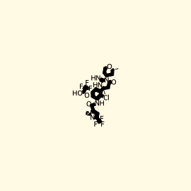 C[C@@H]1C[C@H](N2C(=N)N[C@](C)(c3cccc(NC(=O)c4cc(C(F)(F)F)nn4C)c3Cl)CC2=O)CCO1.O=C(O)C(F)(F)F